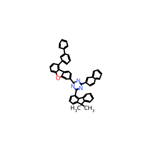 CC1(C)c2ccccc2-c2c(-c3nc(-c4ccc5ccccc5c4)nc(-c4ccc5c(c4)oc4cccc(-c6cccc(-c7ccccc7)c6)c45)n3)cccc21